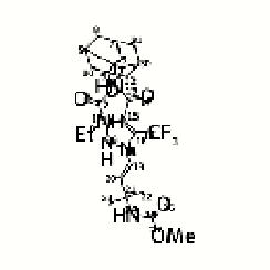 CCNC(=O)OC12CC3CC(C1)C(NC(=O)C1=C(C(F)(F)F)N(/C=C/C(C)(C)NC(=O)OC)NC1)C(C3)C2